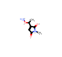 CC(ON)C1=CC(=O)N(C)C1=O